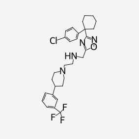 FC(F)(F)c1cccc(C2CCN(CCNCc3nc(C4(c5ccc(Cl)cc5)CCCCC4)no3)CC2)c1